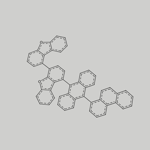 c1ccc2c(c1)ccc1c(-c3c4ccccc4c(-c4ccc(-c5cccc6oc7ccccc7c56)c5oc6ccccc6c45)c4ccccc34)cccc12